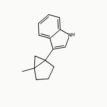 CC12CCCC1(c1c[nH]c3ccccc13)C2